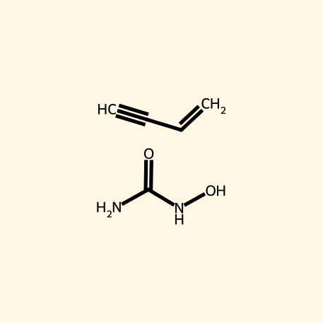 C#CC=C.NC(=O)NO